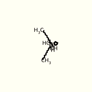 CCCCCCCCCCC(O)CN(CC(O)CCCCCCCCCC)Nc1ccccc1